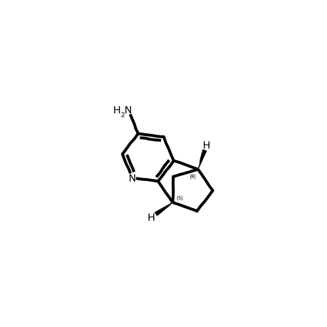 Nc1cnc2c(c1)[C@@H]1CC[C@H]2C1